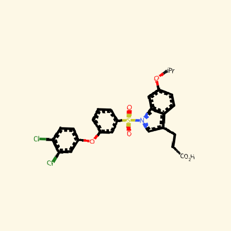 CC(C)Oc1ccc2c(CCC(=O)O)cn(S(=O)(=O)c3cccc(Oc4ccc(Cl)c(Cl)c4)c3)c2c1